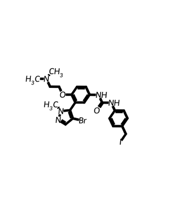 CN(C)CCOc1ccc(NC(=O)Nc2ccc(CI)cc2)cc1-c1c(Br)cnn1C